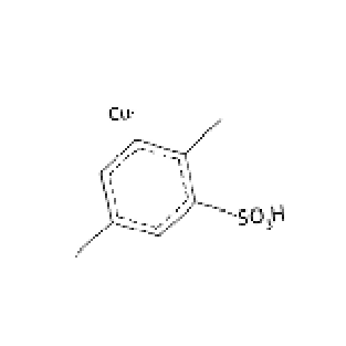 Cc1ccc(C)c(S(=O)(=O)O)c1.[Cu]